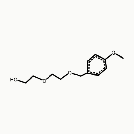 COc1ccc(COCCOCCO)cc1